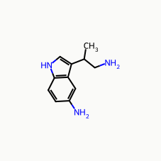 CC(CN)c1c[nH]c2ccc(N)cc12